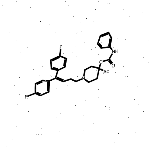 CC(=O)C1(OC(=O)Nc2ccccc2)CCN(CCC=C(c2ccc(F)cc2)c2ccc(F)cc2)CC1